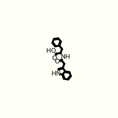 O=C(Cc1c[nH]c2ccccc12)NC(Cc1ccccc1)C(=O)O